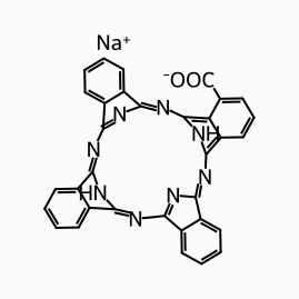 O=C([O-])c1cccc2c3nc4nc(nc5[nH]c(nc6nc(nc([nH]3)c12)-c1ccccc1-6)c1ccccc51)-c1ccccc1-4.[Na+]